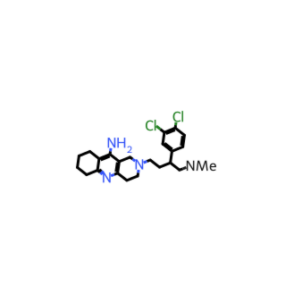 CNCC(CCN1CCc2nc3c(c(N)c2C1)CCCC3)c1ccc(Cl)c(Cl)c1